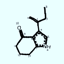 C=C(CC)c1c[nH]c2c1C(=O)CCC2